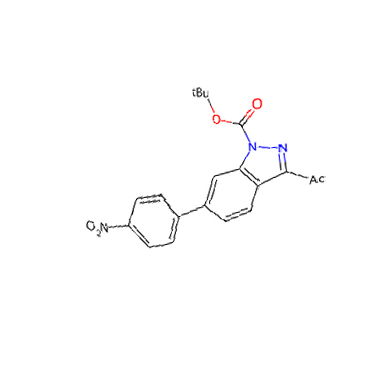 CC(=O)c1nn(C(=O)OC(C)(C)C)c2cc(-c3ccc([N+](=O)[O-])cc3)ccc12